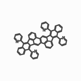 c1ccc(-c2c3ccccc3c(-c3ccccn3)c3c4cc5c(cc6c7c(-c8ccccn8)c8ccccc8c(-c8ccccn8)c7c7cccc5c76)c5cccc(c23)c54)nc1